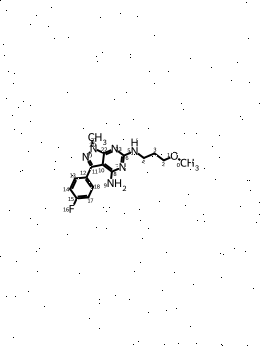 COCCCNc1nc(N)c2c(-c3ccc(F)cc3)nn(C)c2n1